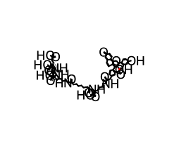 O=C(O)CC[C@H](NC(=O)N[C@@H](CCCCNC(=O)CCCCCCC(=O)NC(CCCCNC(=O)Cc1ccc(-c2c3ccc4cc(O)ccc4c3oc3c2ccc2cc(=O)ccc23)c(C(=O)O)c1)C(=O)O)C(=O)O)C(=O)O